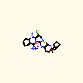 CCC1C2CCC1[n+]1c(ccc(Nc3ncc(Cl)c(Nc4ccccc4C(=O)NC)n3)c1Cl)C2